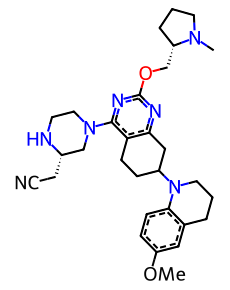 COc1ccc2c(c1)CCCN2C1CCc2c(nc(OC[C@@H]3CCCN3C)nc2N2CCN[C@@H](CC#N)C2)C1